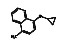 Cc1ccc(OC2CC2)c2ccccc12